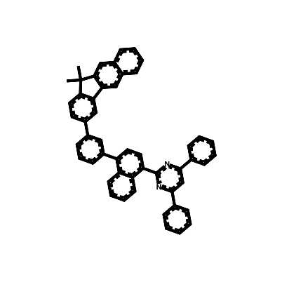 CC1(C)c2ccc(-c3cccc(-c4ccc(-c5nc(-c6ccccc6)cc(-c6ccccc6)n5)c5ccccc45)c3)cc2-c2cc3ccccc3cc21